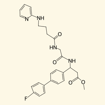 COC(=O)CC(NC(=O)CNC(=O)CCCNc1ccccn1)c1ccc(-c2ccc(F)cc2)cc1